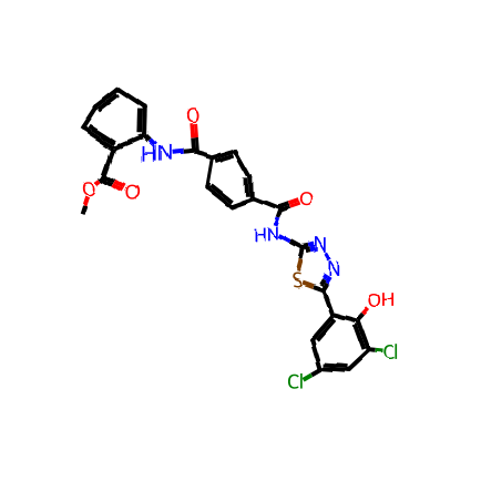 COC(=O)c1ccccc1NC(=O)c1ccc(C(=O)Nc2nnc(-c3cc(Cl)cc(Cl)c3O)s2)cc1